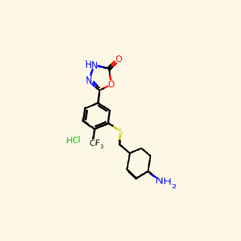 Cl.NC1CCC(CSc2cc(-c3n[nH]c(=O)o3)ccc2C(F)(F)F)CC1